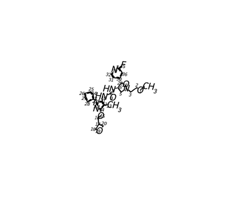 COCCN1C[C@@H](NC(=O)Nc2c(C)c(OCC3COC3)nn2-c2ccccc2)[C@H](c2ccnc(F)c2)O1